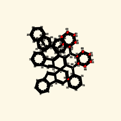 C1=CC2(C3=Cc4ccccc4C3=C1)C1=Cc3cccc(N(c4ccccc4)c4ccccc4)c3C1=C(N(c1ccccc1)c1ccccc1)C(N(c1ccccc1)c1ccccc1)=C2N(c1ccccc1)c1ccccc1